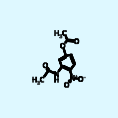 CC(=O)Nc1cc(OC(C)=O)ccc1[N+](=O)[O-]